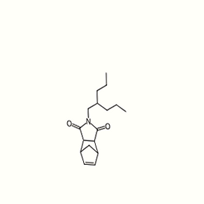 CCCC(CCC)CN1C(=O)C2C3C=CC(C3)C2C1=O